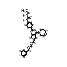 CCNC(=O)Nc1ccc(-c2nc3c(c(N4CCCOCC4)n2)CN(COCOCc2ccccc2)C3)cc1